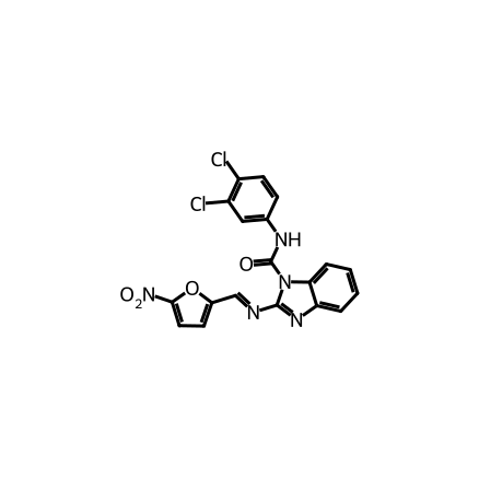 O=C(Nc1ccc(Cl)c(Cl)c1)n1c(N=Cc2ccc([N+](=O)[O-])o2)nc2ccccc21